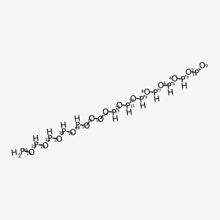 O=POPOPOPOPOPOPOOOOPOPOPOPOP